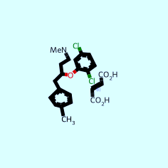 CNCCC(Cc1ccc(C)cc1)Oc1cc(Cl)ccc1Cl.O=C(O)/C=C/C(=O)O